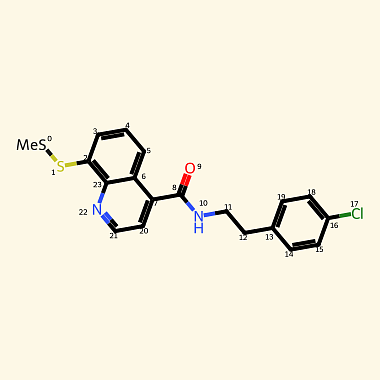 CSSc1cccc2c(C(=O)NCCc3ccc(Cl)cc3)ccnc12